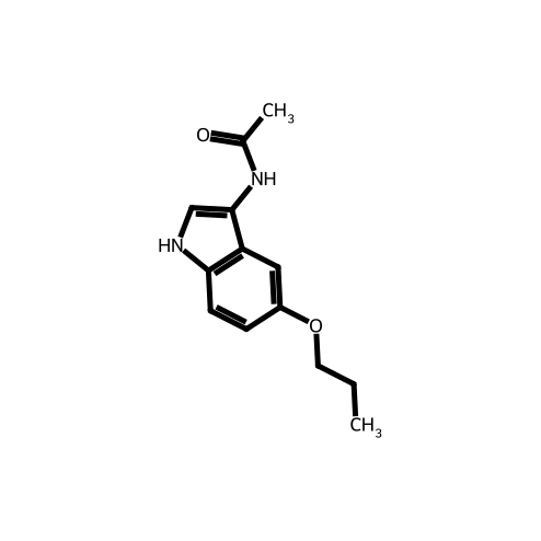 CCCOc1ccc2[nH]cc(NC(C)=O)c2c1